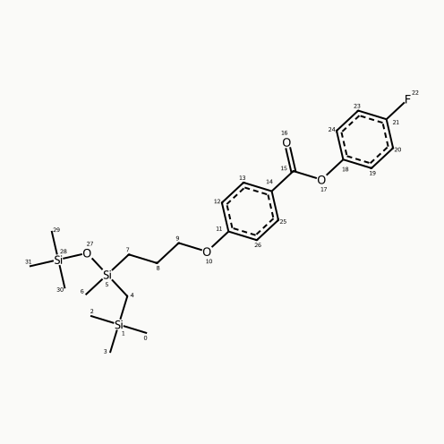 C[Si](C)(C)C[Si](C)(CCCOc1ccc(C(=O)Oc2ccc(F)cc2)cc1)O[Si](C)(C)C